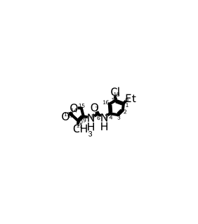 CCc1ccc(NC(=O)NC2=C(C)C(=O)OC2)cc1Cl